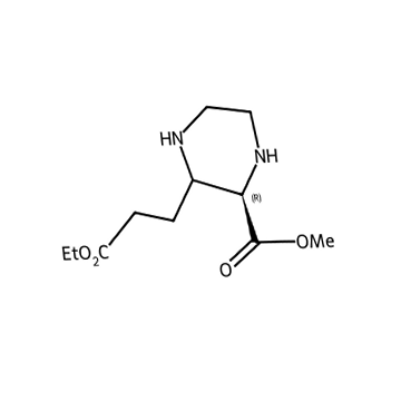 CCOC(=O)CCC1NCCN[C@H]1C(=O)OC